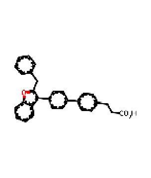 O=C(O)CCc1ccc(-c2ccc(-c3c(Cc4ccccc4)oc4ccccc34)cc2)cc1